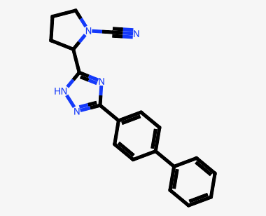 N#CN1CCCC1c1nc(-c2ccc(-c3ccccc3)cc2)n[nH]1